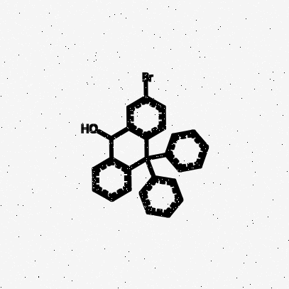 OC1c2ccccc2C(c2ccccc2)(c2ccccc2)c2ccc(Br)cc21